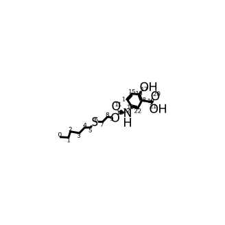 CCCCCCSCCOC(=O)Nc1ccc(O)c(C(=O)O)c1